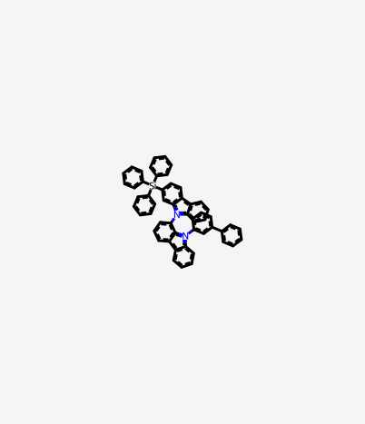 c1ccc(-c2cccc(-n3c4ccccc4c4cccc(-n5c6ccccc6c6ccc([Si](c7ccccc7)(c7ccccc7)c7ccccc7)cc65)c43)c2)cc1